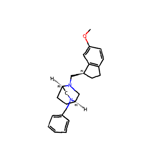 COc1ccc2c(c1)[C@H](CN1C[C@H]3CC[C@@H]1CN3c1ccccc1)CC2